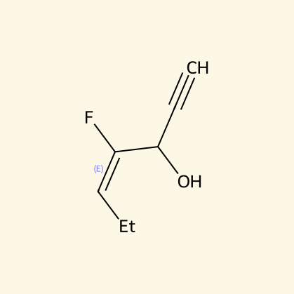 C#CC(O)/C(F)=C\CC